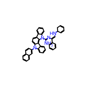 N/C(=N\C(=C/NC1C=CC=CC1)c1ccccc1)n1c2ccccc2c2ccc3c(c4ccccc4n3-c3ccc4ccccc4c3)c21